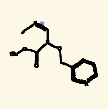 C/N=C\N(OCc1cccnc1)C(=O)OC(C)(C)C